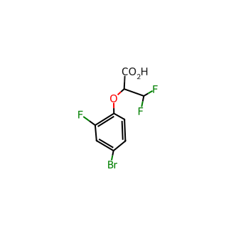 O=C(O)C(Oc1ccc(Br)cc1F)C(F)F